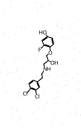 Oc1ccc(OC[C@@H](O)CNCCc2ccc(Cl)c(Cl)c2)c(F)c1